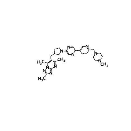 Cc1nc2nc(C)c(CC3CCN(c4cnc(-c5ccc(CN6CCN(C)CC6)nc5)cn4)C3)c(C)n2n1